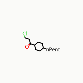 CCCCCC1CCC(C(=O)CCCl)CC1